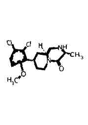 COc1ccc(Cl)c(Cl)c1[C@@H]1CCN2C(=O)[C@H](C)NC[C@@H]2C1